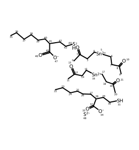 CC(=O)C[CH2][Sn+2][CH2]CC(C)=O.CC(=O)C[CH2][Sn+2][CH2]CC(C)=O.CCCCCCC(CCS)C(=O)[O-].CCCCCCC(CCS)C(=O)[O-].[S-2]